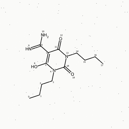 CCCCn1c(O)c(C(=N)N)c(=O)n(CCCC)c1=O